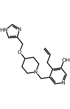 C=CCc1c(O)cncc1CN1CCC(OCc2c[nH]cn2)CC1